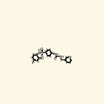 O=C(NCc1cccnc1)Nc1ccc(S(=O)(=O)Nc2ccc(F)cc2Cl)cc1